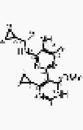 COC1NC=NC(C2CC2)=C1c1nc(C)c(N)c(N[C@@H](C)C2CC2)n1